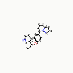 CCC(Oc1ccc(C2CCCC3CCCN32)cc1)C1CCCNC1